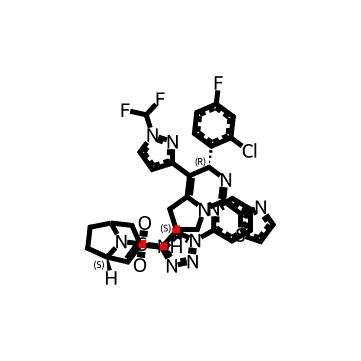 O=S(=O)(N[C@H]1CC2=C(c3ccn(C(F)F)n3)[C@H](c3ccc(F)cc3Cl)N=C(c3nccs3)N2C1)N1C2CC[C@H]1C=C(c1cn(-c3ccccn3)nn1)C2